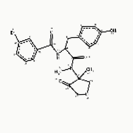 CN(C(=O)C(Cc1ccc(O)cc1)NC(=O)c1cccc(Br)c1)C1(C)COCC1=O